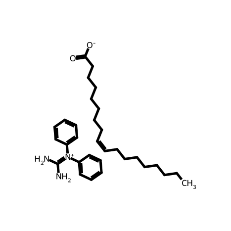 CCCCCCCC/C=C\CCCCCCCC(=O)[O-].NC(N)=[N+](c1ccccc1)c1ccccc1